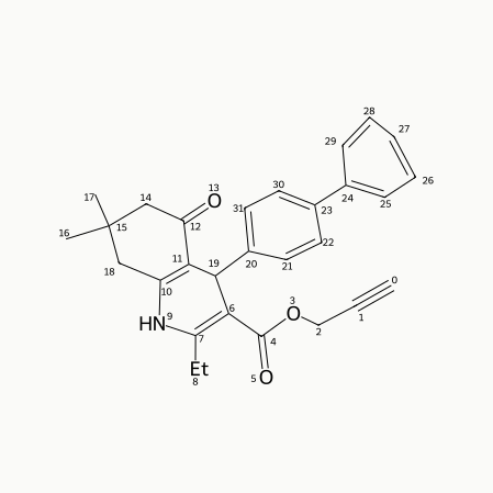 C#CCOC(=O)C1=C(CC)NC2=C(C(=O)CC(C)(C)C2)C1c1ccc(-c2ccccc2)cc1